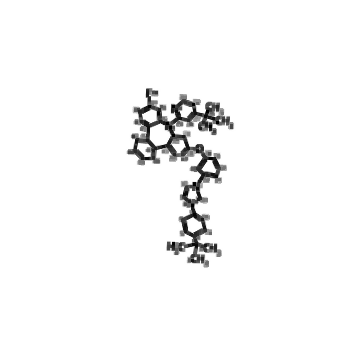 CC(C)(C)c1ccc(-[n+]2ccn(-c3cccc(Oc4ccc5c(c4)N(c4cc(C(C)(C)C)ccn4)c4cc(F)ccc4-c4ccccc4-5)c3)c2)cc1